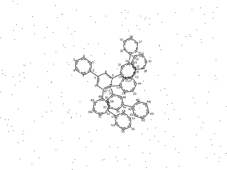 C1=C(c2ccccc2)C=C(c2cccc(-c3ccccc3)c2)P(c2cccc(-c3ccccc3)c2)(c2cccc(-c3ccccc3)c2)=C1c1cccc(-c2ccccc2)c1